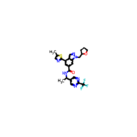 Cc1cnc(-c2cc(C(=O)NC(C)c3cnc(C(F)(F)F)nc3)cc3c2cnn3CC2CCCO2)s1